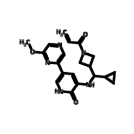 C=CC(=O)N1CC(C(Nc2cc(-c3cncc(OC)n3)c[nH]c2=O)C2CC2)C1